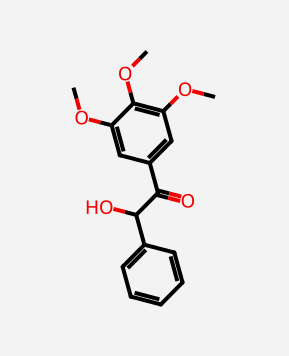 COc1cc(C(=O)C(O)c2ccccc2)cc(OC)c1OC